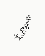 CN(CCNN1C=c2ncnc(Nc3ccc(OCc4ccccc4)cc3)c2=CC1)CCS(C)(=O)=O